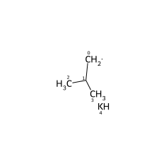 [CH2]C(C)C.[KH]